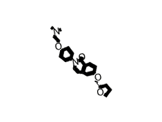 CN(C)CCOc1ccc(-n2ccc3cc(OC[C@@H]4CCCO4)ccc3c2=O)cc1